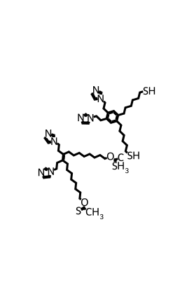 CC(=S)OCCCCCCCC/C(CCn1ccnc1)=C(\CCCCCCCCOC(C)=S)CCn1ccnc1.SCCCCCCc1cc(CCn2ccnc2)c(CCn2ccnc2)cc1CCCCCCS